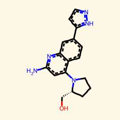 Nc1cc(N2CCC[C@@H]2CO)c2ccc(-c3ccn[nH]3)cc2n1